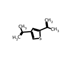 C=C(C)c1csc(C(=C)C)c1